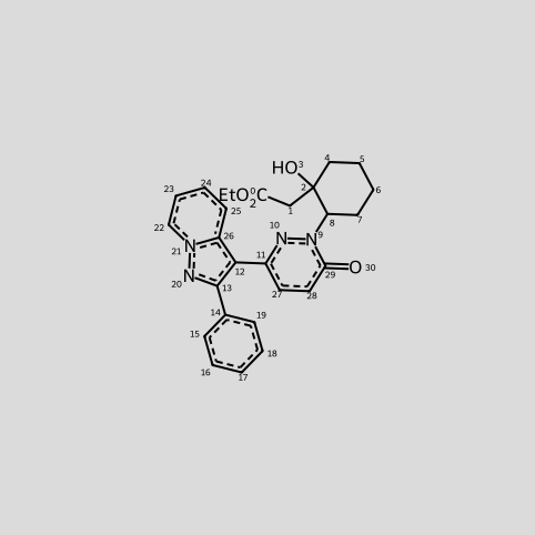 CCOC(=O)CC1(O)CCCCC1n1nc(-c2c(-c3ccccc3)nn3ccccc23)ccc1=O